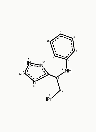 CC(C)CC(Nc1ccccc1)c1nn[nH]n1